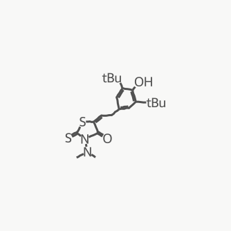 CN(C)N1C(=O)C(=CCc2cc(C(C)(C)C)c(O)c(C(C)(C)C)c2)SC1=S